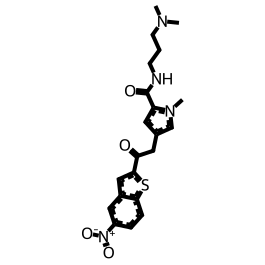 CN(C)CCCNC(=O)c1cc(CC(=O)c2cc3cc([N+](=O)[O-])ccc3s2)cn1C